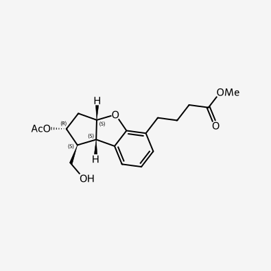 COC(=O)CCCc1cccc2c1O[C@H]1C[C@@H](OC(C)=O)[C@H](CO)[C@@H]21